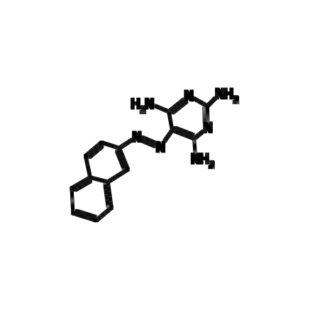 Nc1nc(N)c(N=Nc2ccc3ccccc3c2)c(N)n1